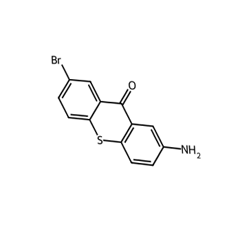 Nc1ccc2sc3ccc(Br)cc3c(=O)c2c1